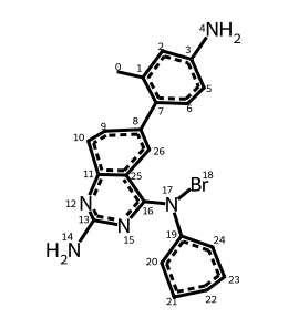 Cc1cc(N)ccc1-c1ccc2nc(N)nc(N(Br)c3ccccc3)c2c1